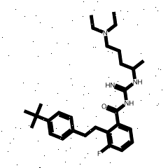 CCN(CC)CCCC(C)NC(=N)NC(=O)c1cccc(F)c1CCc1ccc(C(C)(C)C)cc1